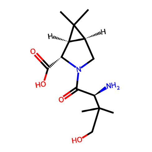 CC(C)(CO)[C@H](N)C(=O)N1C[C@H]2[C@@H]([C@H]1C(=O)O)C2(C)C